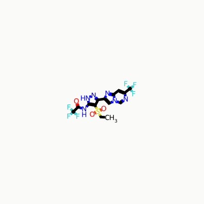 CCS(=O)(=O)c1c(-c2cn3cnc(C(F)(F)F)cc3n2)n[nH]c1NC(=O)C(F)(F)F